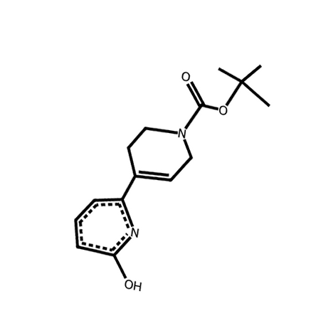 CC(C)(C)OC(=O)N1CC=C(c2cccc(O)n2)CC1